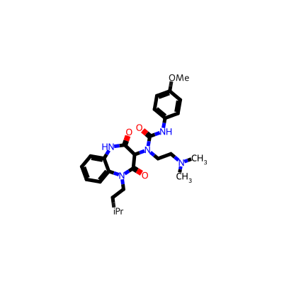 COc1ccc(NC(=O)N(CCN(C)C)C2C(=O)Nc3ccccc3N(CCC(C)C)C2=O)cc1